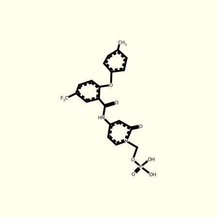 Cc1ccc(Oc2ccc(C(F)(F)F)cc2C(=O)Nc2ccn(COP(=O)(O)O)c(=O)c2)cc1